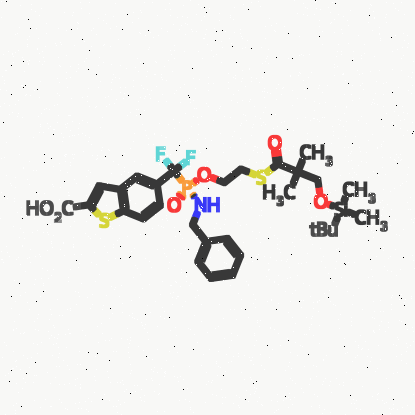 CC(C)(CO[Si](C)(C)C(C)(C)C)C(=O)SCCOP(=O)(NCc1ccccc1)C(F)(F)c1ccc2sc(C(=O)O)cc2c1